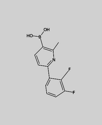 Cc1nc(-c2cccc(F)c2F)ccc1B(O)O